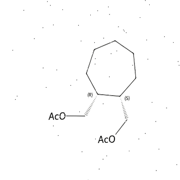 CC(=O)OC[C@H]1CCCCC[C@H]1COC(C)=O